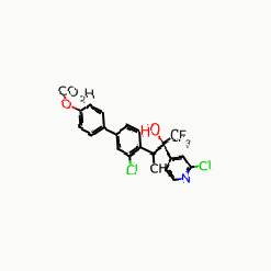 CC(c1ccc(-c2ccc(OC(=O)O)cc2)cc1Cl)C(O)(c1ccnc(Cl)c1)C(F)(F)F